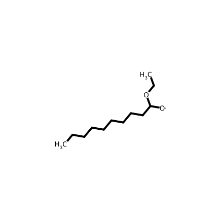 CCCCCCCCCC([O])OCC